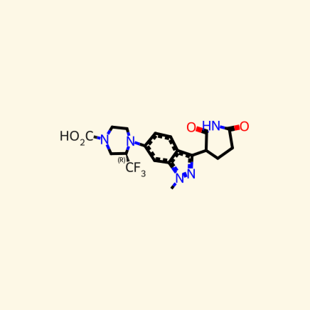 Cn1nc(C2CCC(=O)NC2=O)c2ccc(N3CCN(C(=O)O)C[C@@H]3C(F)(F)F)cc21